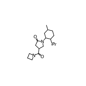 CC1CCC(C(C)C)C(N2CC(C(=O)N3CCC3)CC2=O)C1